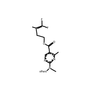 CCCCCN(C)c1ncc(C(=O)OCCC(C)=C(F)F)c(C)n1